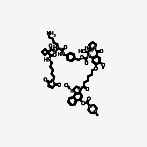 COc1cc2c(cc1OCCCCCC(=O)N1C[C@@H](CCl)c3c1cc(OC(=O)N1CCN(C)CC1)c1ccccc31)N(C(=O)OCc1ccc(NC(=O)[C@H](CCCCN)NC(=O)C3(C(=O)NCCCCCN4C(=O)C=CC4=O)CCC3)cc1)C(O)[C@@H]1CCCN1C2=O